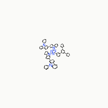 c1ccc(-c2cc(-c3ccccc3)cc(-c3cccc(-c4nc(-n5c6ccccc6c6ccc(-c7ccc8c9ccccc9n(-c9ccccc9)c8c7)cc65)nc(-n5c6ccccc6c6ccc(-c7ccc8c9ccccc9n(-c9ccccc9)c8c7)cc65)n4)c3)c2)cc1